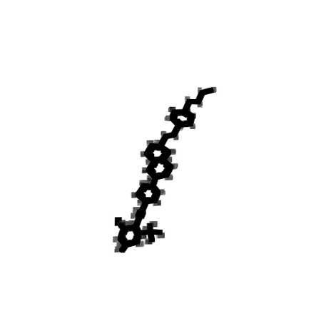 CCCCc1ccc(CCc2ccc3cc(-c4ccc(C#Cc5c(F)cc(C)cc5C(C)(C)C)cc4)ccc3c2)cc1